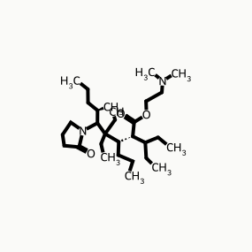 CCCC([C@H](C(=O)OCCN(C)C)C(CC)CC)C(CC)(CC)C([C@H](C)CCC)N1CCCC1=O